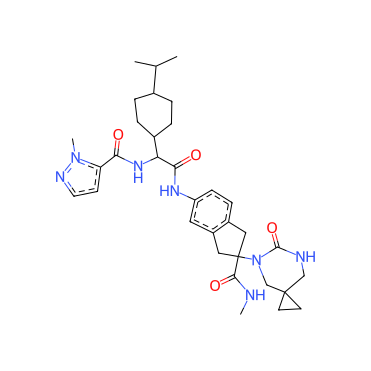 CNC(=O)C1(N2CC3(CC3)CNC2=O)Cc2ccc(NC(=O)C(NC(=O)c3ccnn3C)C3CCC(C(C)C)CC3)cc2C1